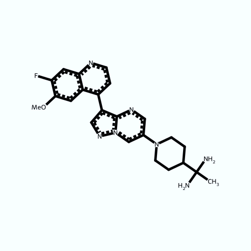 COc1cc2c(-c3cnn4cc(N5CCC(C(C)(N)N)CC5)cnc34)ccnc2cc1F